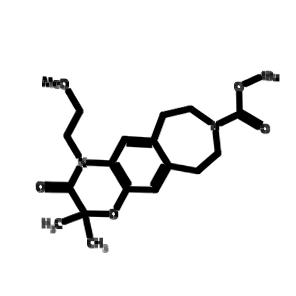 COCCN1C(=O)C(C)(C)Oc2cc3c(cc21)CCN(C(=O)OC(C)(C)C)CC3